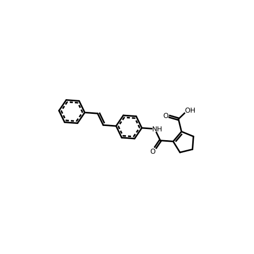 O=C(O)C1=C(C(=O)Nc2ccc(C=Cc3ccccc3)cc2)CCC1